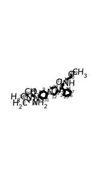 C=CN(C(=O)N(N)c1ccc(N2CCN(C(C(=O)NCCOC)c3ccccc3)CC2)cc1)C(C)C